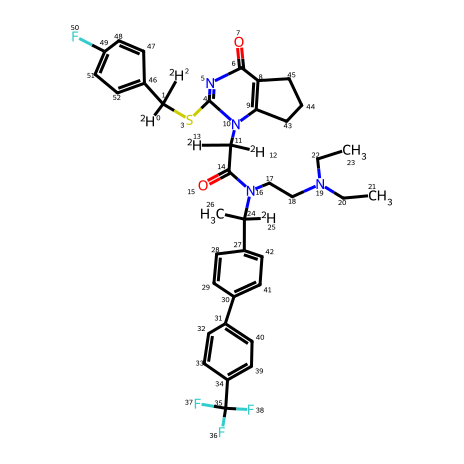 [2H]C([2H])(Sc1nc(=O)c2c(n1C([2H])([2H])C(=O)N(CCN(CC)CC)C([2H])(C)c1ccc(-c3ccc(C(F)(F)F)cc3)cc1)CCC2)c1ccc(F)cc1